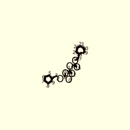 O=C(OCc1ccccc1)OC(=O)OC(=O)OCc1ccccc1